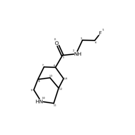 O=C(NCCF)C1CC2CNCC(C2)C1